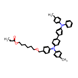 C=CC(=O)OCCCCCCOCc1ccc(N(c2ccc(C)cc2)c2ccc(-c3ccc(N(c4ccccc4)c4ccc(C)cc4)cc3)cc2)cc1